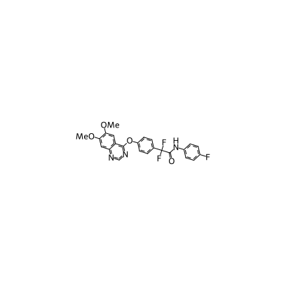 COc1cc2ncnc(Oc3ccc(C(F)(F)C(=O)Nc4ccc(F)cc4)cc3)c2cc1OC